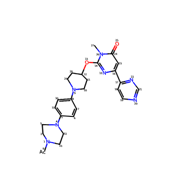 CC(=O)N1CCN(c2ccc(N3CCC(Oc4nc(-c5ccncn5)cc(=O)n4C)CC3)cc2)CC1